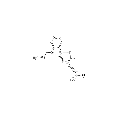 C=CCOc1ccccc1-c1cnc(C#CC(C)O)nc1